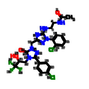 CC(=O)NCCNc1nc(Cn2nc(-c3ccc(Cl)cc3)n(C[C@H](O)C(F)(F)F)c2=O)nn1-c1ccccc1Cl